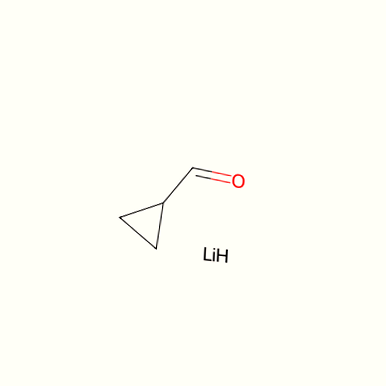 O=CC1CC1.[LiH]